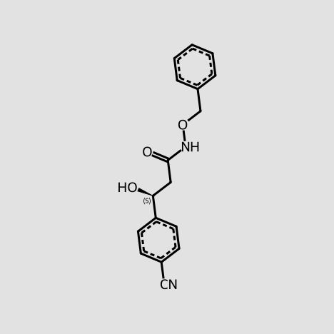 N#Cc1ccc([C@@H](O)CC(=O)NOCc2ccccc2)cc1